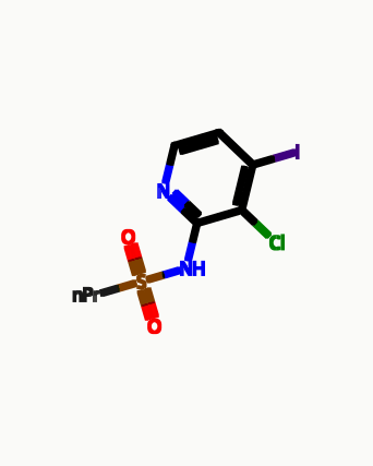 CCCS(=O)(=O)Nc1nccc(I)c1Cl